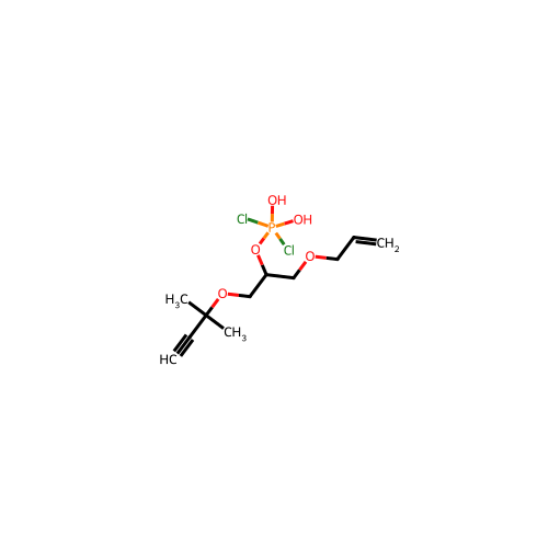 C#CC(C)(C)OCC(COCC=C)OP(O)(O)(Cl)Cl